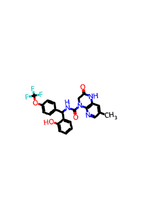 Cc1cnc2c(c1)NC(=O)CN2C(=O)NC(c1ccc(OC(F)(F)F)cc1)c1ccccc1O